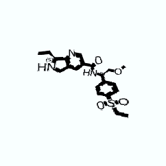 CC[C@@H]1NCc2cc(C(=O)N[C@@H](COC)c3ccc(S(=O)(=O)CC)cc3)cnc21